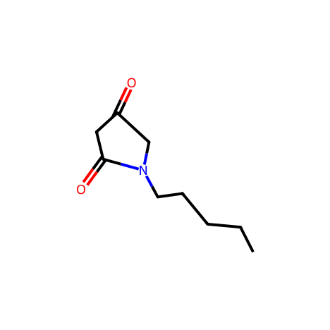 CCCCCN1CC(=O)CC1=O